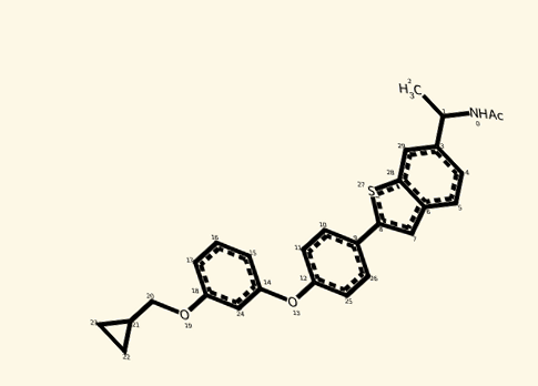 CC(=O)NC(C)c1ccc2cc(-c3ccc(Oc4cccc(OCC5CC5)c4)cc3)sc2c1